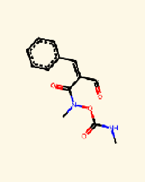 CNC(=O)ON(C)C(=O)C([C]=O)=Cc1ccccc1